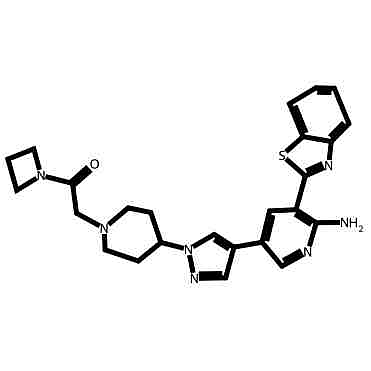 Nc1ncc(-c2cnn(C3CCN(CC(=O)N4CCC4)CC3)c2)cc1-c1nc2ccccc2s1